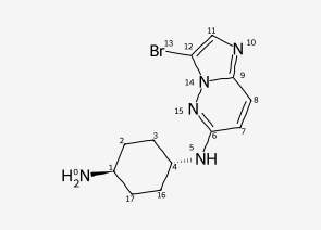 N[C@H]1CC[C@H](Nc2ccc3ncc(Br)n3n2)CC1